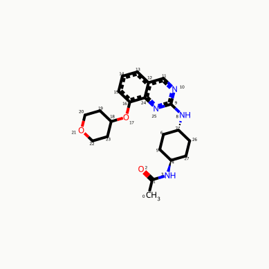 CC(=O)N[C@H]1CC[C@H](Nc2ncc3cccc(OC4CCOCC4)c3n2)CC1